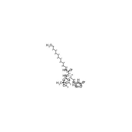 CCCCCCCCCCCCNC(=O)[C@H](CCCNC(=N)N[N+](=O)[O-])NC(=O)OC(C)(C)C